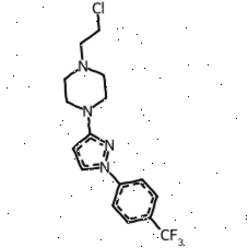 FC(F)(F)c1ccc(-n2ccc(N3CCN(CCCl)CC3)n2)cc1